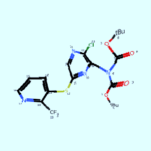 CC(C)(C)OC(=O)N(C(=O)OC(C)(C)C)c1nc(Sc2cccnc2C(F)(F)F)cnc1Cl